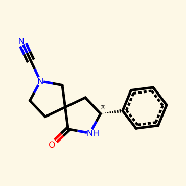 N#CN1CCC2(C[C@H](c3ccccc3)NC2=O)C1